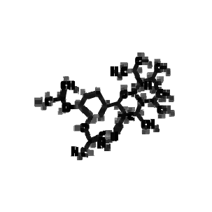 C=C(C)Oc1ccc(C(CC#N)OP(N(C(C)C)C(C)C)N(C(C)C)C(C)C)cc1OC(=C)C